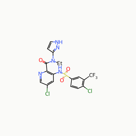 CCN(C(=O)c1ncc(Cl)cc1NS(=O)(=O)c1ccc(Cl)c(C(F)(F)F)c1)c1cc[nH]n1